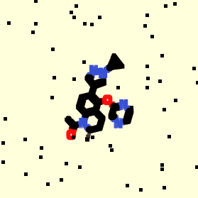 CC(=O)N1c2ccc(-c3cnn(C4CC4)c3)c(Oc3cnccn3)c2CC[C@@H]1C